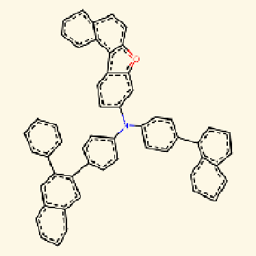 c1ccc(-c2cc3ccccc3cc2-c2ccc(N(c3ccc(-c4cccc5ccccc45)cc3)c3ccc4c(c3)oc3ccc5ccccc5c34)cc2)cc1